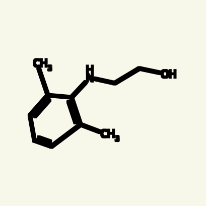 Cc1cccc(C)c1NCCO